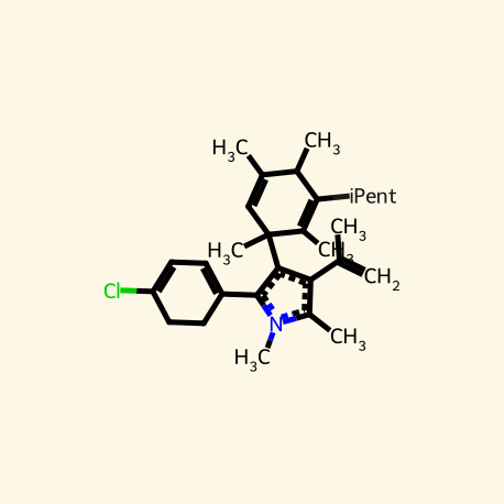 C=C(C)c1c(C2(C)C=C(C)C(C)C(C(C)CCC)=C2C)c(C2=CC=C(Cl)CC2)n(C)c1C